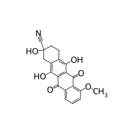 COc1cccc2c1C(=O)c1c(O)c3c(c(O)c1C2=O)CC(O)(C#N)CC3